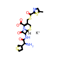 Cc1cnc(C(=O)SCC2=C(C(=O)[O-])N3C(=O)C(NC(=O)C(N)c4ccsc4)[C@H]3SC2)s1.[K+]